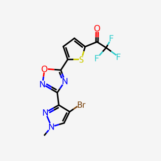 Cn1cc(Br)c(-c2noc(-c3ccc(C(=O)C(F)(F)F)s3)n2)n1